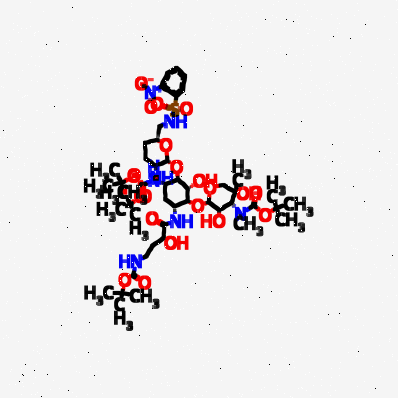 CN(C(=O)OC(C)(C)C)[C@@H]1[C@@H](O)[C@@H](O[C@@H]2[C@@H](O)[C@H](O[C@H]3O[C@H](CNS(=O)(=O)c4ccccc4[N+](=O)[O-])CC[C@H]3NC(=O)OC(C)(C)C)[C@@H](NC(=O)OC(C)(C)C)C[C@H]2NC(=O)C(O)CCNC(=O)OC(C)(C)C)OC[C@]1(C)O